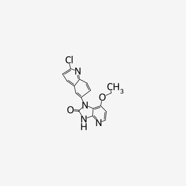 CCOc1ccnc2[nH]c(=O)n(-c3ccc4nc(Cl)ccc4c3)c12